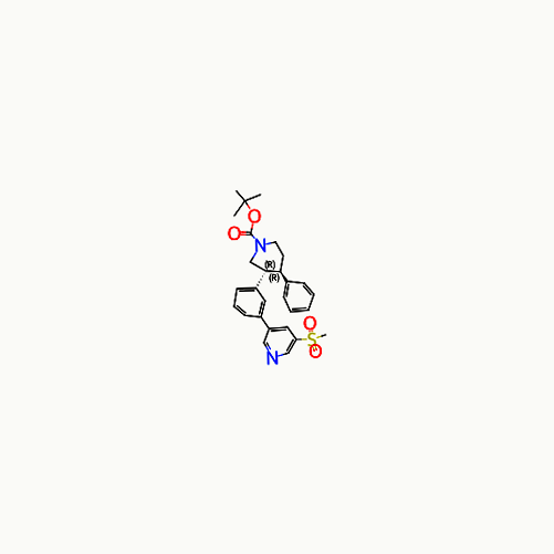 CC(C)(C)OC(=O)N1CC[C@@H](c2ccccc2)[C@H](c2cccc(-c3cncc(S(C)(=O)=O)c3)c2)C1